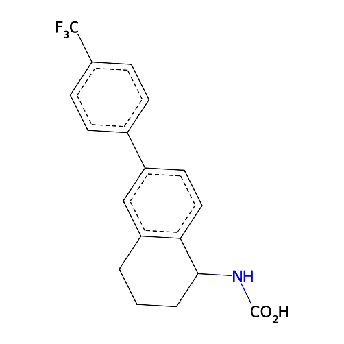 O=C(O)NC1CCCc2cc(-c3ccc(C(F)(F)F)cc3)ccc21